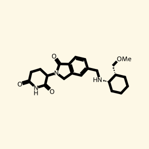 COC[C@@H]1CCCC[C@@H]1NCc1ccc2c(c1)CN(C1CCC(=O)NC1=O)C2=O